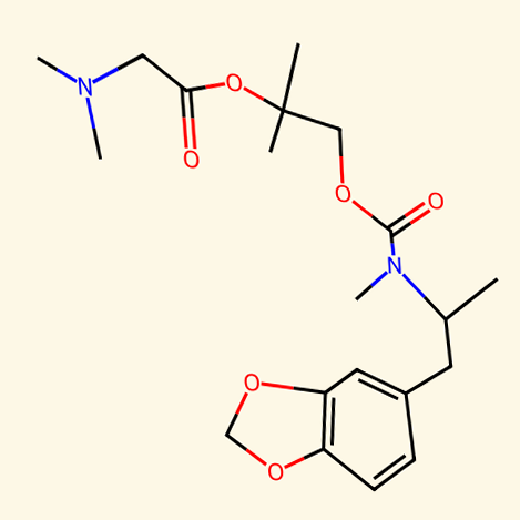 CC(Cc1ccc2c(c1)OCO2)N(C)C(=O)OCC(C)(C)OC(=O)CN(C)C